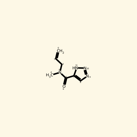 C=CCN(C)C(=O)c1cnn[nH]1